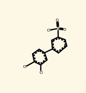 O=S(=O)(Cl)c1cccc(-c2ccc(Cl)c(Cl)c2)c1